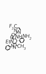 CCN1C(=O)[C@@H](NC(=O)c2nccc(C(F)(F)F)n2)[C@H](c2cccc(N)c2)c2c(C)nn(-c3ccccc3)c21